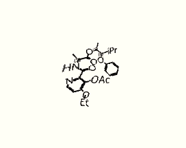 CCOc1ccnc(C(=O)N[C@@H](C)C(=O)O[C@@H](C)[C@H](Oc2ccccc2)C(C)C)c1OC(C)=O